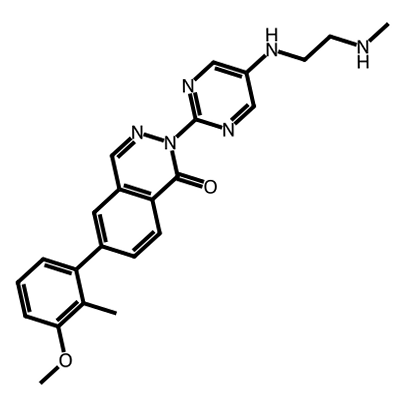 CNCCNc1cnc(-n2ncc3cc(-c4cccc(OC)c4C)ccc3c2=O)nc1